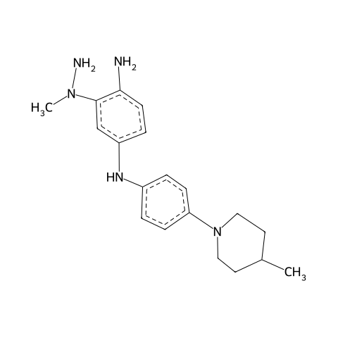 CC1CCN(c2ccc(Nc3ccc(N)c(N(C)N)c3)cc2)CC1